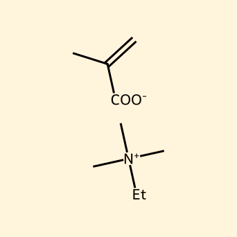 C=C(C)C(=O)[O-].CC[N+](C)(C)C